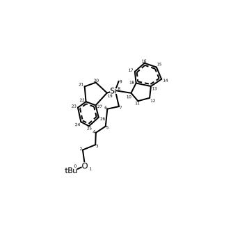 CC(C)(C)OCCCCCC[Si](C)(C1CCc2ccccc21)C1CCc2ccccc21